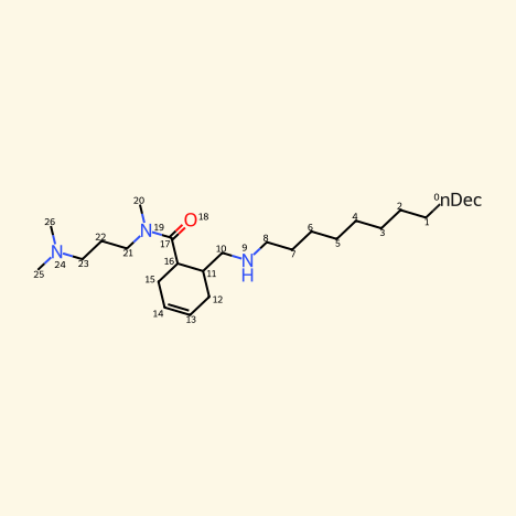 CCCCCCCCCCCCCCCCCCNCC1CC=CCC1C(=O)N(C)CCCN(C)C